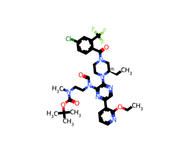 CCOc1ncccc1-c1cnc(N2CCN(C(=O)c3ccc(Cl)cc3C(F)(F)F)C[C@H]2CC)c(N(C=O)CCN(C)C(=O)OC(C)(C)C)n1